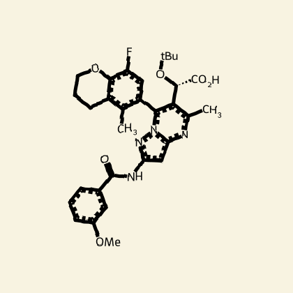 COc1cccc(C(=O)Nc2cc3nc(C)c([C@H](OC(C)(C)C)C(=O)O)c(-c4cc(F)c5c(c4C)CCCO5)n3n2)c1